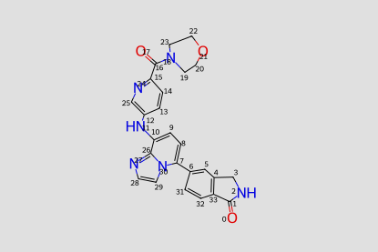 O=C1NCc2cc(-c3ccc(Nc4ccc(C(=O)N5CCOCC5)nc4)c4nccn34)ccc21